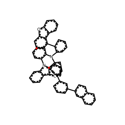 c1cc(-c2ccc(N(c3ccccc3-c3cccc4oc5ccccc5c34)c3ccccc3-n3c4ccccc4c4ccccc43)cc2)cc(-c2ccc3ccccc3c2)c1